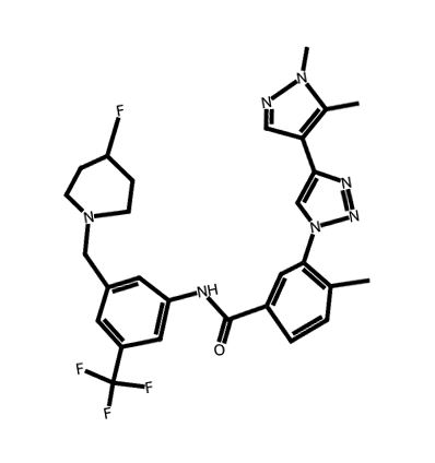 Cc1ccc(C(=O)Nc2cc(CN3CCC(F)CC3)cc(C(F)(F)F)c2)cc1-n1cc(-c2cnn(C)c2C)nn1